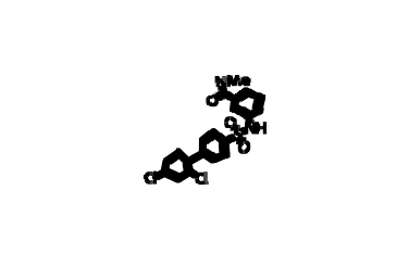 CNC(=O)c1cccc(NS(=O)(=O)c2ccc(-c3ccc(Cl)cc3Cl)cc2)c1